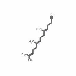 C#CCC/C=C(\C)CC/C=C(\C)CCC=C(C)C